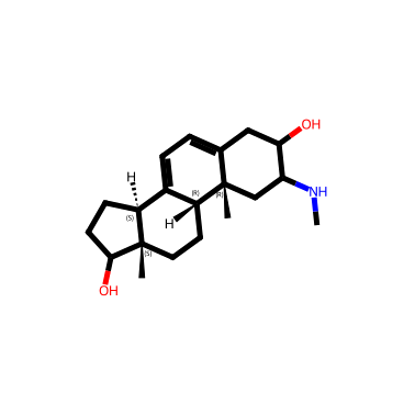 CNC1C[C@@]2(C)C(=CC=C3[C@H]2CC[C@]2(C)C(O)CC[C@@H]32)CC1O